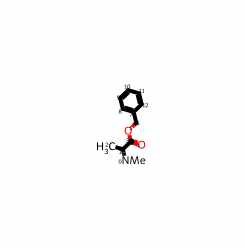 CNC(C)C(=O)OCc1ccccc1